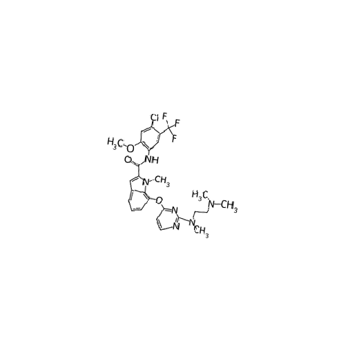 COc1cc(Cl)c(C(F)(F)F)cc1NC(=O)c1cc2cccc(Oc3ccnc(N(C)CCN(C)C)n3)c2n1C